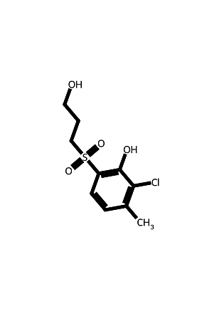 Cc1ccc(S(=O)(=O)CCCO)c(O)c1Cl